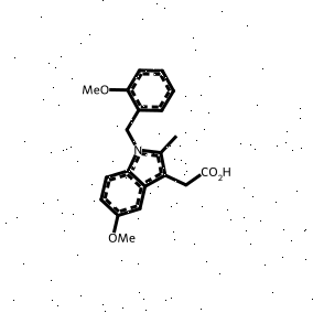 COc1ccc2c(c1)c(CC(=O)O)c(C)n2Cc1ccccc1OC